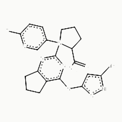 CC(C)c1cc(Nc2nc([N+]3(c4ccc(F)nc4)CCCC3C(N)=S)nc3c2CCC3)n[nH]1